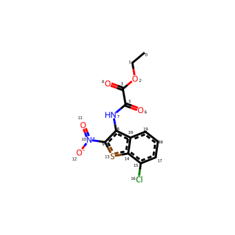 CCOC(=O)C(=O)Nc1c([N+](=O)[O-])sc2c(Cl)cccc12